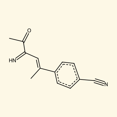 CC(=O)C(=N)/C=C(\C)c1ccc(C#N)cc1